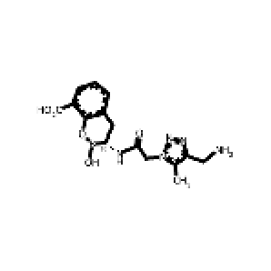 Cc1c(CN)nnn1CC(=O)N[C@H]1Cc2cccc(C(=O)O)c2OB1O